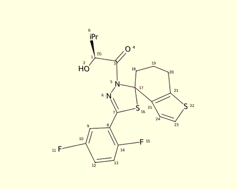 CC(C)[C@H](O)C(=O)N1N=C(c2cc(F)ccc2F)SC12CCCc1sccc12